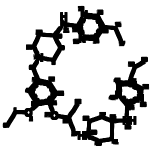 CCOc1cc(CN2CCC(Nc3ncc(CC)cn3)CC2)ccc1OC(C)C.CCc1cnc(NC2CCNCC2)nc1